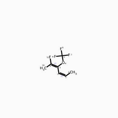 C/C=C\C(OC(F)(F)F)=C(/C)F